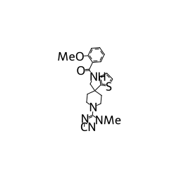 CN/C(=N\C#N)N1CCC(CNC(=O)c2ccccc2OC)(c2cccs2)CC1